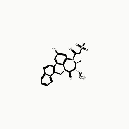 Cc1ccc2ccccc2c1CN1C(=O)[C@@H](NC(=O)O)[C@H](C)N(C(=O)CS(C)(=O)=O)c2cc(C#N)ccc21